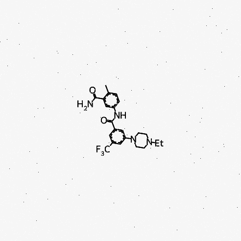 CCN1CCN(c2cc(C(=O)Nc3ccc(C)c(C(N)=O)c3)cc(C(F)(F)F)c2)CC1